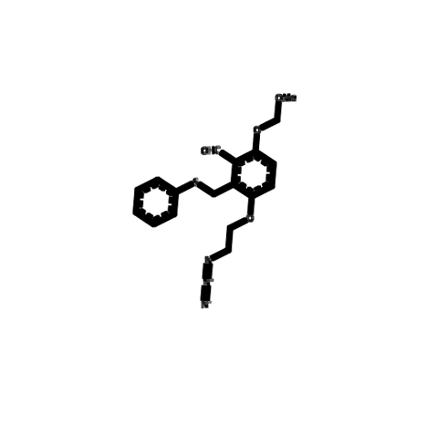 COCOc1ccc(OCCN=[N+]=[N-])c(CSc2ccccc2)c1C=O